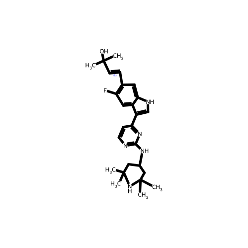 CC(C)(O)/C=C/c1cc2[nH]cc(-c3ccnc(NC4CC(C)(C)NC(C)(C)C4)n3)c2cc1F